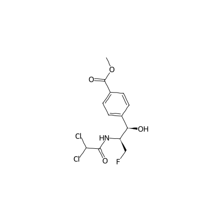 COC(=O)c1ccc([C@@H](O)[C@@H](CF)NC(=O)C(Cl)Cl)cc1